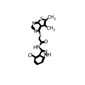 Cc1sc2ncnc(SCC(=O)Nc3n[nH]c4cccc(Cl)c34)c2c1C